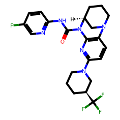 O=C(Nc1ccc(F)cn1)N1c2nc(N3CCC[C@H](C(F)(F)F)C3)ccc2N2CCC[C@H]1C2